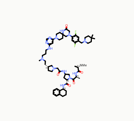 CN[C@@H](C)C(=O)N[C@@H](C)C(=O)N1CC(NC(=O)CN2CC[C@H](CCN(C)CCCNc3cc(N4CCC5(CC4)CN(c4cc(F)c(CN6CCC(C)(C)CC6)cc4F)CC(=O)N5)ncn3)C2)C[C@H]1C(=O)N[C@H]1CCCc2ccccc21